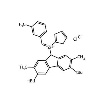 Cc1cc2c(cc1C(C)(C)C)-c1cc(C(C)(C)C)c(C)cc1[CH]2/[Zr+2](=[CH]/c1cccc(C(F)(F)F)c1)[C]1=CC=CC1.[Cl-].[Cl-]